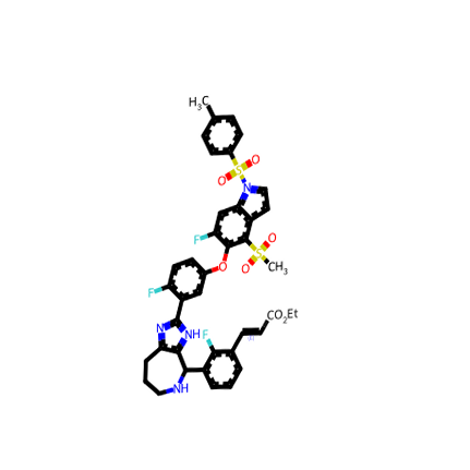 CCOC(=O)/C=C/c1cccc(C2NCCCc3nc(-c4cc(Oc5c(F)cc6c(ccn6S(=O)(=O)c6ccc(C)cc6)c5S(C)(=O)=O)ccc4F)[nH]c32)c1F